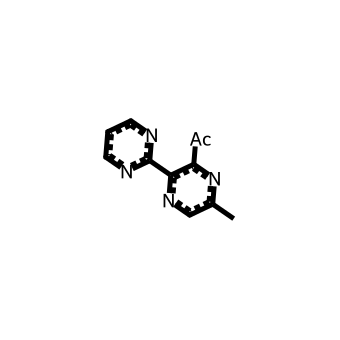 CC(=O)c1nc(C)cnc1-c1ncccn1